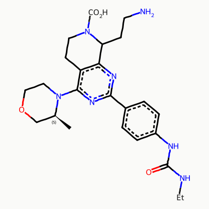 CCNC(=O)Nc1ccc(-c2nc3c(c(N4CCOC[C@@H]4C)n2)CCN(C(=O)O)C3CCN)cc1